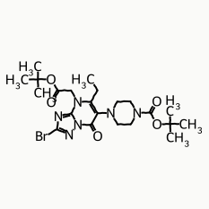 CCc1c(N2CCN(C(=O)OC(C)(C)C)CC2)c(=O)n2nc(Br)nc2n1CC(=O)OC(C)(C)C